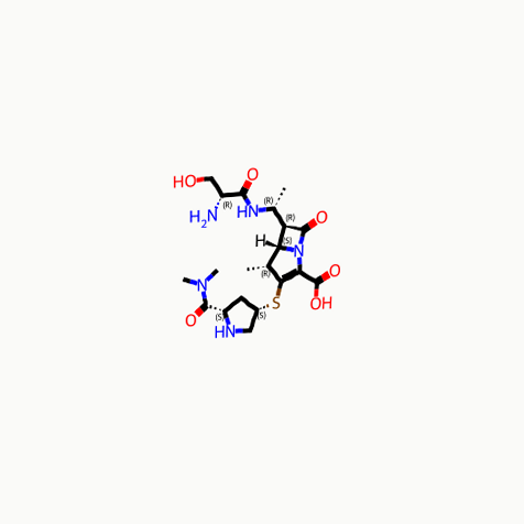 C[C@@H](NC(=O)[C@H](N)CO)[C@H]1C(=O)N2C(C(=O)O)=C(S[C@@H]3CN[C@H](C(=O)N(C)C)C3)[C@H](C)[C@H]12